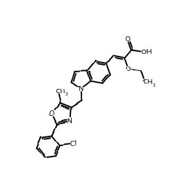 CCOC(=Cc1ccc2c(ccn2Cc2nc(-c3ccccc3Cl)oc2C)c1)C(=O)O